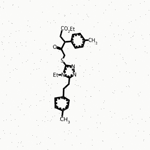 CCOC(=O)CC(C(=O)CSc1nnc(CCc2ccc(C)cc2)n1CC)c1ccc(C)cc1